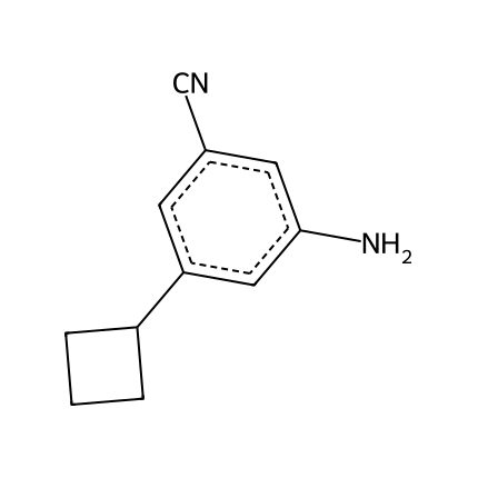 N#Cc1cc(N)cc(C2CCC2)c1